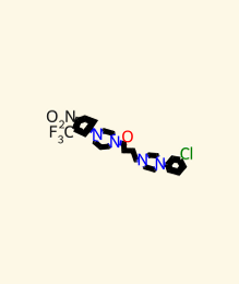 O=C(CCCN1CCN(c2cccc(Cl)c2)CC1)N1CCCN(c2ccc([N+](=O)[O-])c(C(F)(F)F)c2)CC1